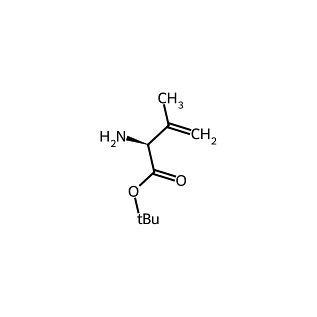 C=C(C)[C@H](N)C(=O)OC(C)(C)C